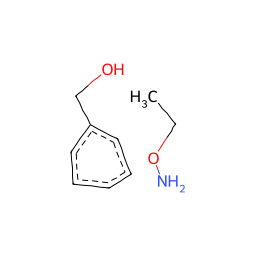 CCON.OCc1ccccc1